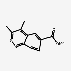 COC(=O)c1ccc2nnc(C)c(C)c2c1